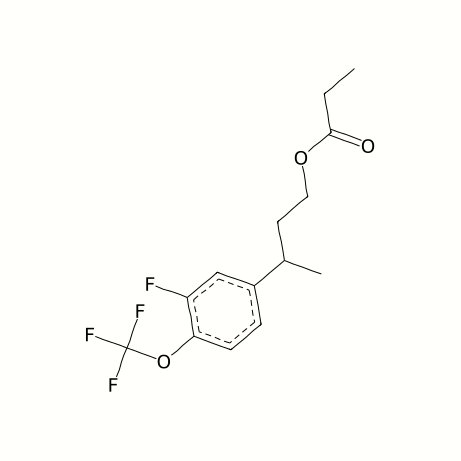 CCC(=O)OCCC(C)c1ccc(OC(F)(F)F)c(F)c1